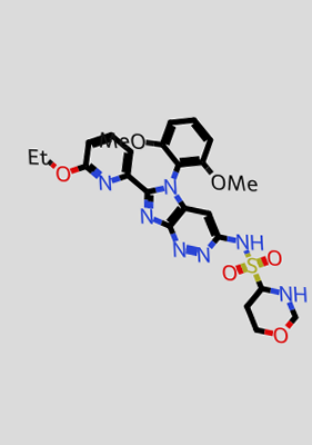 CCOc1cccc(-c2nc3nnc(NS(=O)(=O)C4CCOCN4)cc3n2-c2c(OC)cccc2OC)n1